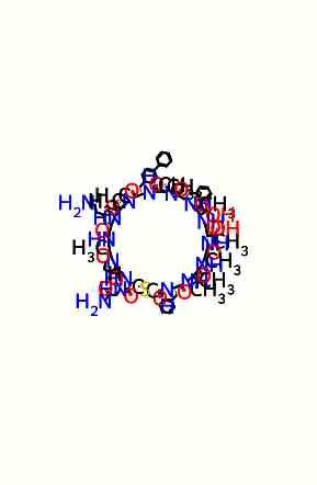 CC(C)C1NC(=O)[C@H](Cc2ccccc2)NC(=O)CSC[C@@H](C(=O)NCC(N)=O)NC(=O)[C@@H]2CCCN2C(=O)[C@H](C)NC(=O)[C@H](CCCCN)NC(=O)[C@H](C)N(C)C(=O)[C@H](Cc2ccc(-c3ccccc3)cc2)NC(=O)[C@H](C)N(C)C(=O)[C@H](Cc2ccccc2)NC(=O)[C@H]([C@@H](C)O)NC(=O)[C@H]([C@@H](C)O)NC(=O)[C@H](C)NC1=O